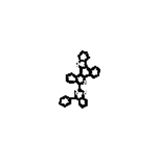 c1ccc(-c2nc(-c3nc4c5ccccc5c5c6ccccc6sc5c4c4ccccc34)nc3ccccc23)cc1